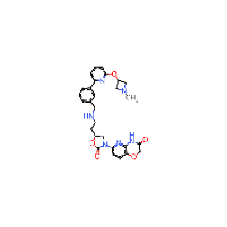 CN1CC(Oc2cccc(-c3cccc(CNCCC4CN(c5ccc6c(n5)NC(=O)CO6)C(=O)O4)c3)n2)C1